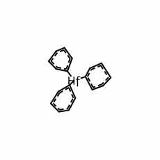 c1cc[c]([Hf]([c]2ccccc2)[c]2ccccc2)cc1